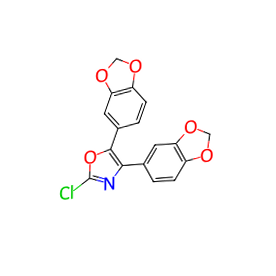 Clc1nc(-c2ccc3c(c2)OCO3)c(-c2ccc3c(c2)OCO3)o1